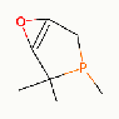 CP1CC2=C(O2)C1(C)C